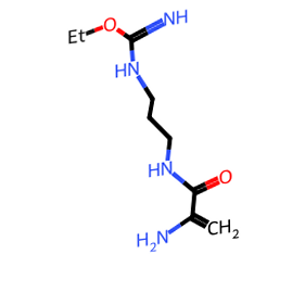 C=C(N)C(=O)NCCCNC(=N)OCC